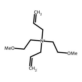 C=CC[N+](CC=C)(CCOC)CCOC